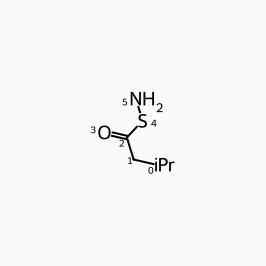 CC(C)CC(=O)SN